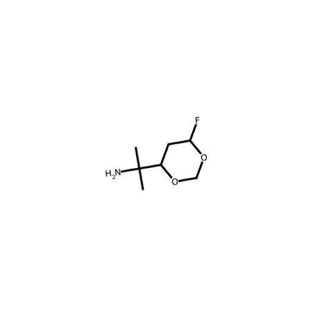 CC(C)(N)C1CC(F)OCO1